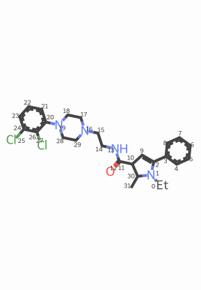 CCN1C(c2ccccc2)=CC(C(=O)NCCN2CCN(c3cccc(Cl)c3Cl)CC2)C1C